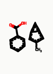 Cc1cc2cc-2c1.O=C(O)c1ccccc1